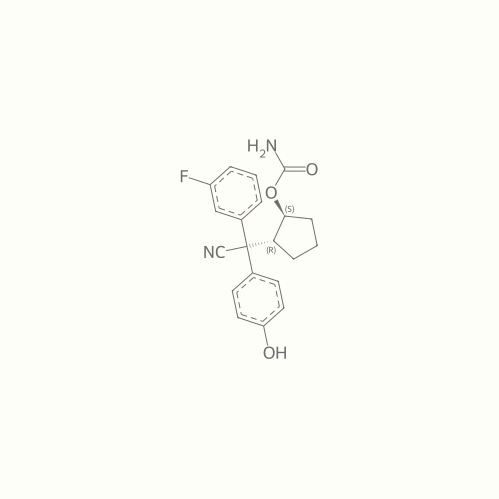 N#CC(c1ccc(O)cc1)(c1cccc(F)c1)[C@H]1CCC[C@@H]1OC(N)=O